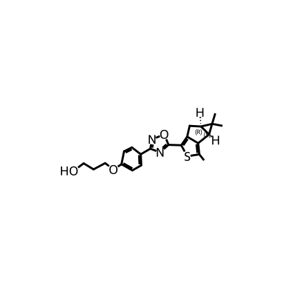 Cc1sc(-c2nc(-c3ccc(OCCCO)cc3)no2)c2c1[C@H]1[C@@H](C2)C1(C)C